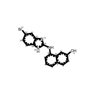 Oc1ccc2cccc(Nc3nc4cc(Br)ccc4[nH]3)c2c1